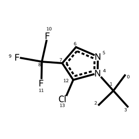 CC(C)(C)n1ncc(C(F)(F)F)c1Cl